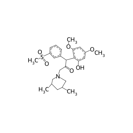 COc1cc(O)c(C(C(=O)CN2CC(C)CC(C)C2)c2cccc(S(C)(=O)=O)c2)c(OC)c1